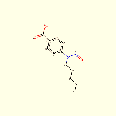 CCCCCN(N=O)c1ccc(C(=O)O)cc1